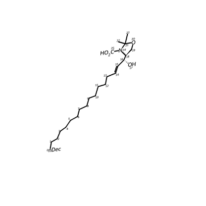 CCCCCCCCCCCCCCCCCCCCCCC/C=C/[C@@H](O)[C@@H]1COC(C)(C)N1C(=O)O